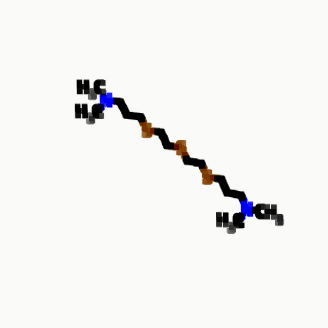 CN(C)CCCSCCSCCSCCCN(C)C